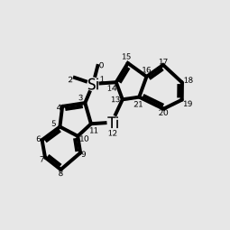 C[Si]1(C)C2=Cc3ccccc3[CH]2[Ti][CH]2C1=Cc1ccccc12